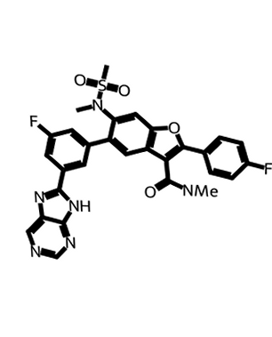 CNC(=O)c1c(-c2ccc(F)cc2)oc2cc(N(C)S(C)(=O)=O)c(-c3cc(F)cc(-c4nc5cncnc5[nH]4)c3)cc12